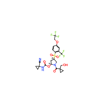 N#CC1(NC(=O)O[C@H]2C[C@@H](S(=O)(=O)c3ccc(OCC(F)(F)F)cc3C(F)(F)F)CN2C(=O)C2(CO)CC2)CC1